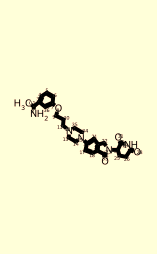 CC(N)c1cccc(OCCCN2CCN(c3ccc4c(c3)CN(C3CCC(=O)NC3=O)C4=O)CC2)c1